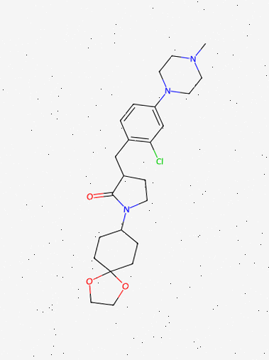 CN1CCN(c2ccc(CC3CCN(C4CCC5(CC4)OCCO5)C3=O)c(Cl)c2)CC1